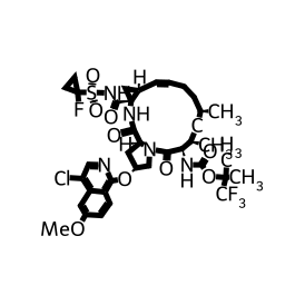 COc1ccc2c(O[C@@H]3C[C@H]4C(=O)N[C@]5(C(=O)NS(=O)(=O)C6(F)CC6)C[C@H]5/C=C\CC[C@@H](C)C[C@@H](C)[C@H](NC(=O)OC(C)(C)C(F)(F)F)C(=O)N4C3)ncc(Cl)c2c1